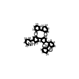 CC1CC2=C(C=C1c1cccc3oc4ccccc4c13)OC1=CC=CCC1c1ccccc1Oc1cc(C3=CC=CCN3)ccc12